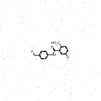 O=C(O)c1ccc(F)cc1C(=O)Nc1ccc(CF)cc1